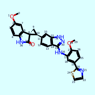 COc1ccc2c(c1)[C@]1(C[C@H]1c1ccc3c(Nc4cc(-c5nccs5)ccc4OC)n[nH]c3c1)C(=O)N2